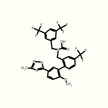 COc1ccc(-c2nc(C)no2)cc1-c1ccc(C(F)(F)F)cc1CN(Cc1cc(C(F)(F)F)cc(C(F)(F)F)c1)C(=O)O